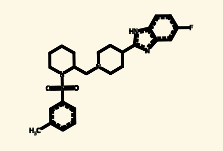 Cc1cccc(S(=O)(=O)N2CCCCC2CN2CCC(c3nc4cc(F)ccc4[nH]3)CC2)c1